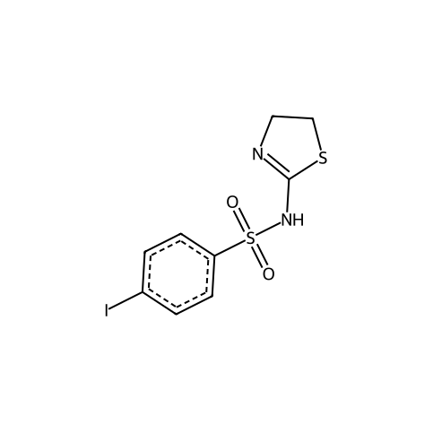 O=S(=O)(NC1=NCCS1)c1ccc(I)cc1